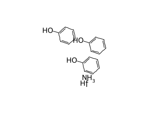 N.Oc1ccccc1.Oc1ccccc1.Oc1ccccc1.[Hf]